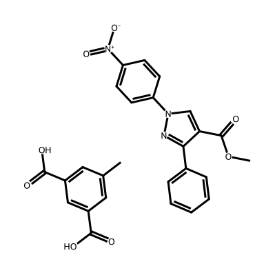 COC(=O)c1cn(-c2ccc([N+](=O)[O-])cc2)nc1-c1ccccc1.Cc1cc(C(=O)O)cc(C(=O)O)c1